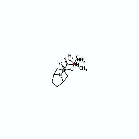 CC(C)(C)OC(=O)N1C2CCC1CN(C(=S)NN)C2